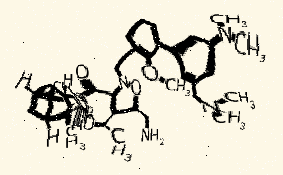 COc1c(CN2O[C@@H](CN)[C@@H]([C@H](C)O)[C@H]2C(=O)N[C@H]2C[C@H]3C[C@@H]([C@@H]2C)C3(C)C)cccc1-c1cc(CN(C)C)cc(N(C)C)c1